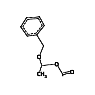 CC(O[C]=O)OCc1ccccc1